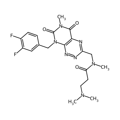 CN(C)CCC(=O)N(C)Cc1nnc2c(n1)c(=O)n(C)c(=O)n2Cc1ccc(F)c(F)c1